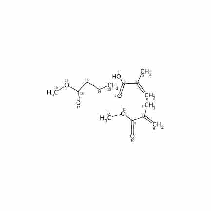 C=C(C)C(=O)O.C=C(C)C(=O)OC.CCCC(=O)OC